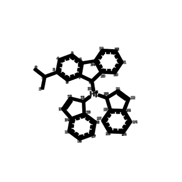 CC(C)c1ccc2c(c1)[CH]([Hf]([CH]1C=Cc3ccccc31)[CH]1C=Cc3ccccc31)c1ccccc1-2